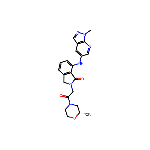 Cn1ncc2cc(Nc3cccc4c3C(=O)N(CC(=O)N3CCO[C@@H](C(F)(F)F)C3)C4)cnc21